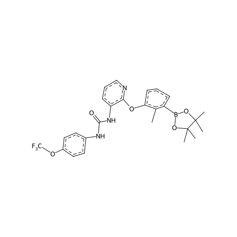 Cc1c(Oc2ncccc2NC(=O)Nc2ccc(OC(F)(F)F)cc2)cccc1B1OC(C)(C)C(C)(C)O1